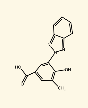 Cc1cc(C(=O)O)cc(-n2nc3ccccc3n2)c1O